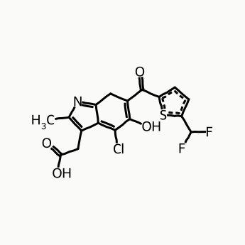 CC1=C(CC(=O)O)C2=C(Cl)C(O)=C(C(=O)c3ccc(C(F)F)s3)CC2=N1